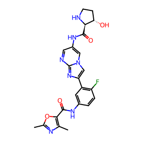 Cc1nc(C)c(C(=O)Nc2ccc(F)c(-c3cn4cc(NC(=O)[C@H]5NCC[C@@H]5O)cnc4n3)c2)o1